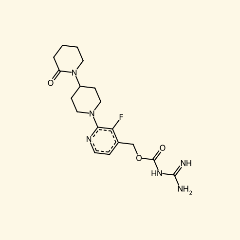 N=C(N)NC(=O)OCc1ccnc(N2CCC(N3CCCCC3=O)CC2)c1F